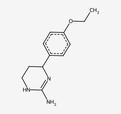 CCOc1ccc(C2CCNC(N)=N2)cc1